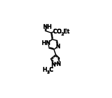 CCOC(=O)/C(C=N)=C1\C=NC(c2cnn(C)c2)=CN1